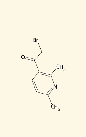 Cc1ccc(C(=O)CBr)c(C)n1